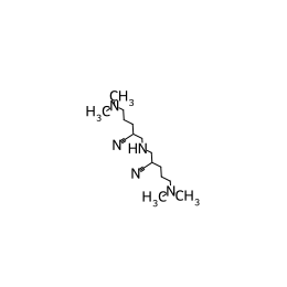 CN(C)CCCC(C#N)CNCC(C#N)CCCN(C)C